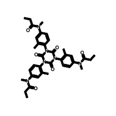 CCC(=O)N(C)c1ccc(-n2c(=O)n(-c3ccc(N(C)C(=O)CC)cc3C)c(=O)n(-c3ccc(N(C)C(=O)CC)cc3C)c2=O)c(C)c1